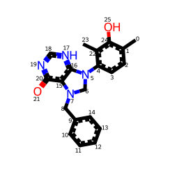 Cc1ccc(N2CN(Cc3ccccc3)c3c2[nH]cnc3=O)c(C)c1O